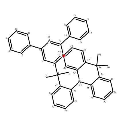 CC(C)(c1cc(-c2ccccc2)nc(-c2ccccc2)n1)c1ccccc1N1c2ccccc2C(C)(C)c2ccccc21